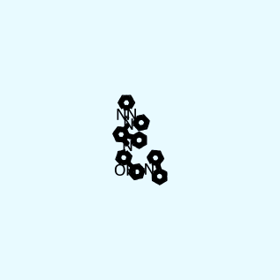 Oc1ccc(-n2c3ccccc3c3c(-n4c5ccccc5n5c6ccccc6nc45)cccc32)cc1-c1cccc(-n2c3ccccc3c3ccccc32)c1